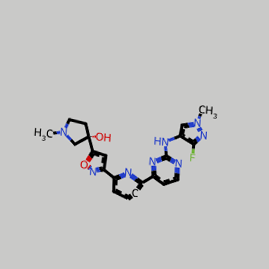 CN1CC[C@@](O)(c2cc(-c3cccc(-c4ccnc(Nc5cn(C)nc5F)n4)n3)no2)C1